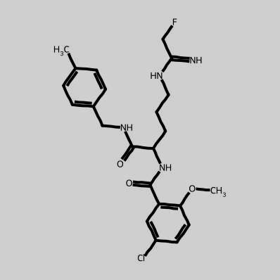 COc1ccc(Cl)cc1C(=O)NC(CCCNC(=N)CF)C(=O)NCc1ccc(C)cc1